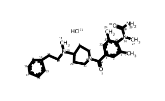 Cc1cc(C(=O)N2CCC(N(C)CCc3ccccc3)CC2)cc(C)c1N(C)C(N)=O.Cl